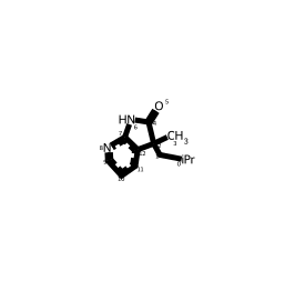 CC(C)CC1(C)C(=O)Nc2ncccc21